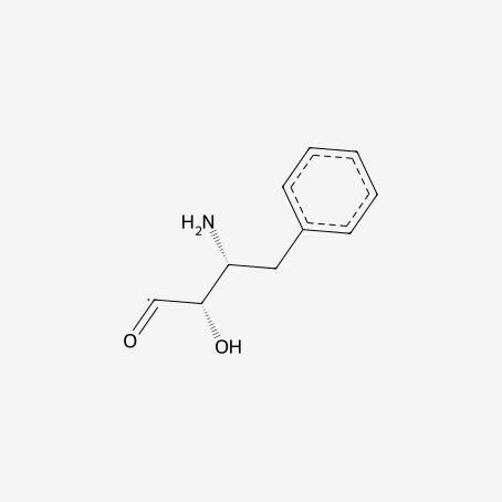 N[C@H](Cc1ccccc1)[C@H](O)[C]=O